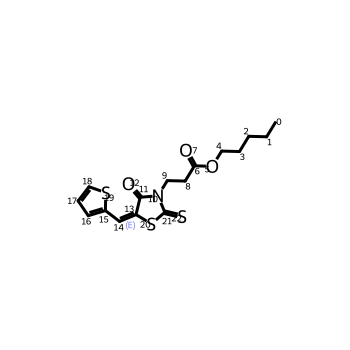 CCCCCOC(=O)CCN1C(=O)/C(=C\c2cccs2)SC1=S